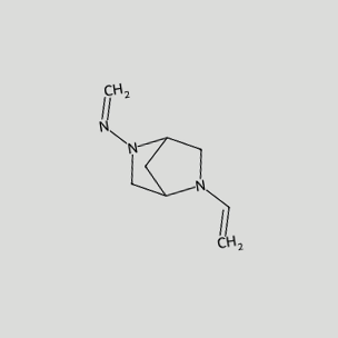 C=CN1CC2CC1CN2N=C